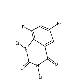 CCn1c(=O)c2cc(Br)cc(F)c2n(CC)c1=O